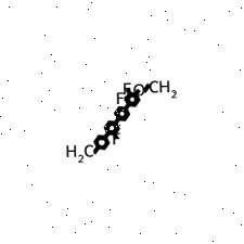 C=CCOc1ccc(-c2ccc(-c3ccc(C4=CCC(C=C)CC4)c(F)c3)cc2)c(F)c1F